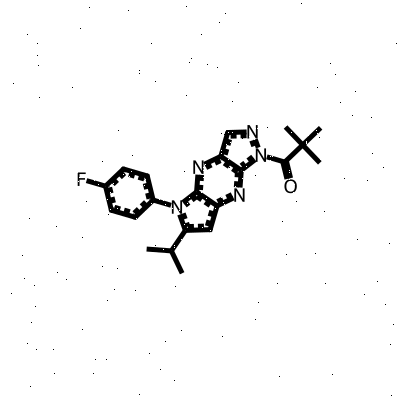 CC(C)c1cc2nc3c(cnn3C(=O)C(C)(C)C)nc2n1-c1ccc(F)cc1